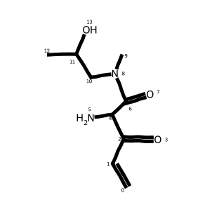 C=CC(=O)C(N)C(=O)N(C)CC(C)O